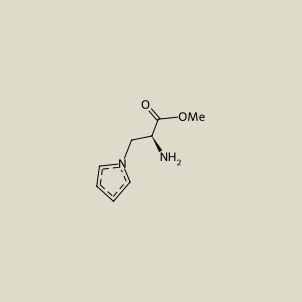 COC(=O)[C@@H](N)Cn1cccc1